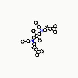 CC1(C)c2cc(N(c3ccc(-c4ccccc4)cc3)c3ccc4c(-c5ccccc5)c5cc(N(c6ccc(-c7ccccc7)cc6)c6ccc7c(c6)C(C)(C)c6cc8c9ccccc9c9ccccc9c8cc6-7)ccc5c(-c5ccccc5)c4c3)ccc2-c2cc3c4ccccc4c4ccccc4c3cc21